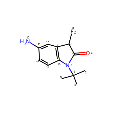 CC(C)(C)N1C(=O)[CH]([Fe])c2cc(N)ccc21